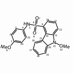 COc1ccc(NS(=O)(=O)c2cccc3c2c2ccccc2n3OC)cc1